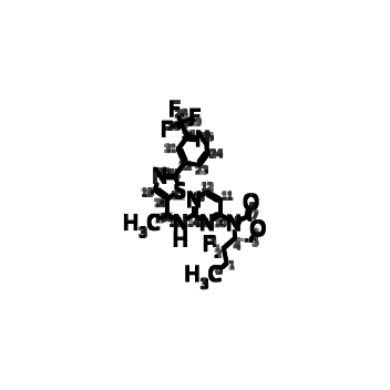 CC[C@H](F)[C@H]1COC(=O)N1c1ccnc(N[C@@H](C)c2cnc(-c3ccnc(C(F)(F)F)c3)s2)n1